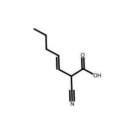 CCCC=CC(C#N)C(=O)O